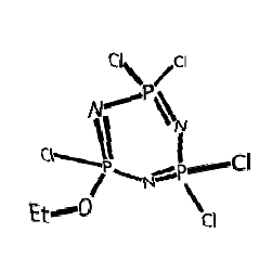 CCOP1(Cl)=NP(Cl)(Cl)=NP(Cl)(Cl)=N1